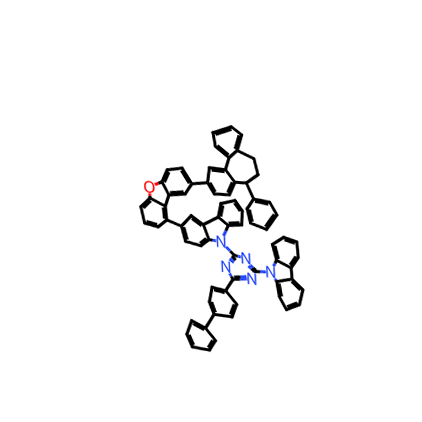 c1ccc(-c2ccc(-c3nc(-n4c5ccccc5c5ccccc54)nc(-n4c5ccccc5c5cc(-c6cccc7oc8ccc(-c9ccc%10c(c9)-c9ccccc9CCC%10c9ccccc9)cc8c67)ccc54)n3)cc2)cc1